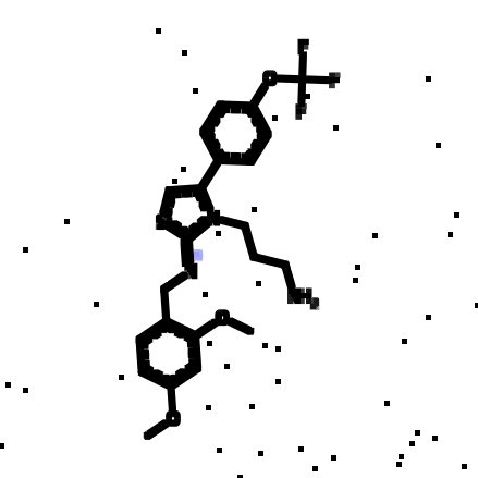 COc1ccc(C/N=c2\scc(-c3ccc(OC(F)(F)F)cc3)n2CCCN)c(OC)c1